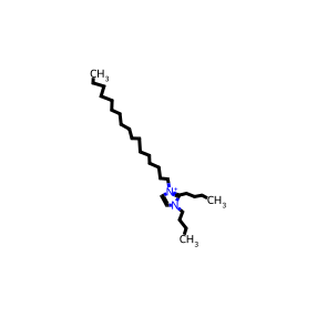 CCCCCCCCCCCCCCCCC[n+]1ccn(CCCC)c1CCCC